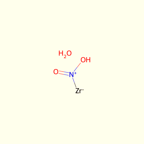 O.O=[N+](O)[Zr-]